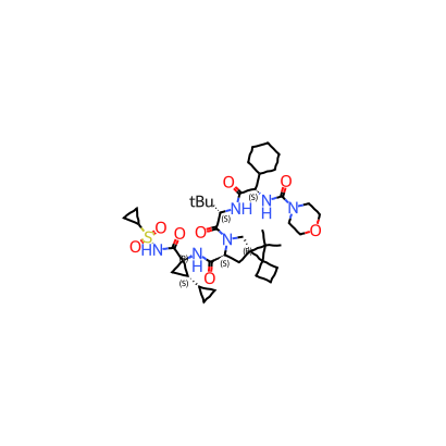 CC(C)(C)[C@H](NC(=O)[C@@H](NC(=O)N1CCOCC1)C1CCCCC1)C(=O)N1C[C@]2(C[C@H]1C(=O)N[C@]1(C(=O)NS(=O)(=O)C3CC3)C[C@H]1C1CC1)C(C)(C)C21CCC1